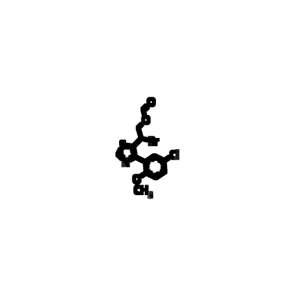 COc1ccc(Cl)cc1-c1ncsc1C(Br)COC=O